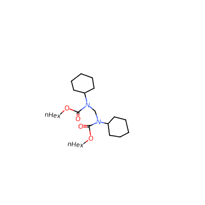 CCCCCCOC(=O)N(CN(C(=O)OCCCCCC)C1CCCCC1)C1CCCCC1